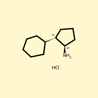 Cl.N[C@@H]1CCC[C@H]1C1CCCCC1